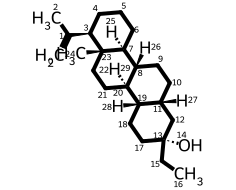 C=C(C)[C@H]1CCC[C@H]2[C@@H]3CC[C@@H]4C[C@@](O)(CC)CC[C@@H]4[C@H]3CC[C@]12C